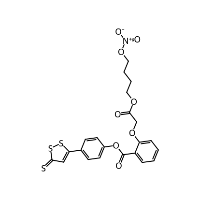 O=C(COc1ccccc1C(=O)Oc1ccc(-c2cc(=S)ss2)cc1)OCCCCO[N+](=O)[O-]